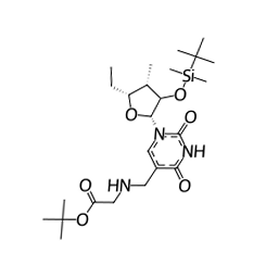 CC[C@H]1O[C@@H](n2cc(CNCC(=O)OC(C)(C)C)c(=O)[nH]c2=O)C(O[Si](C)(C)C(C)(C)C)[C@H]1C